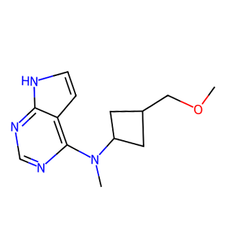 COCC1CC(N(C)c2ncnc3[nH]ccc23)C1